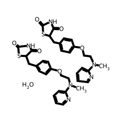 CN(CCOc1ccc(CC2SC(=O)NC2=O)cc1)c1ccccn1.CN(CCOc1ccc(CC2SC(=O)NC2=O)cc1)c1ccccn1.O